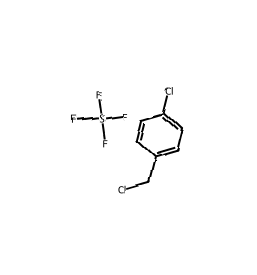 ClCc1ccc(Cl)cc1.FS(F)(F)F